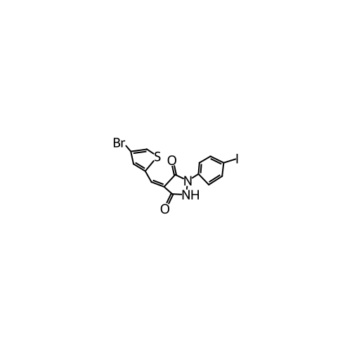 O=C1NN(c2ccc(I)cc2)C(=O)C1=Cc1cc(Br)cs1